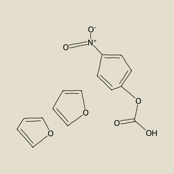 O=C(O)Oc1ccc([N+](=O)[O-])cc1.c1ccoc1.c1ccoc1